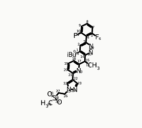 CC[C@H](C)c1cc(-c2c(F)cccc2F)nnc1C(C)c1cccc(-c2cnn(CCS(C)(=O)=O)c2)n1